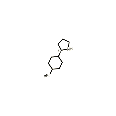 CCCC1CCC([C@H]2CCCN2)CC1